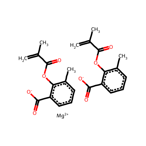 C=C(C)C(=O)Oc1c(C)cccc1C(=O)[O-].C=C(C)C(=O)Oc1c(C)cccc1C(=O)[O-].[Mg+2]